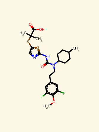 COc1c(F)cc(CCN(C(=O)Nc2ncc(SC(C)(C)C(=O)O)s2)C2CCC(C)CC2)cc1F